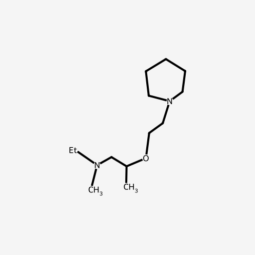 CCN(C)CC(C)OCCN1CCCCC1